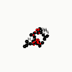 CC1(C)c2ccccc2C2(c3ccccc3-c3c(-c4cccc(N(c5ccccc5)c5ccc(CC6(C)c7ccccc7C7(c8ccc(-c9ccccc9N(c9ccccc9)c9ccc%10ccccc%10c9)cc8-c8ccc(-c9ccc(N(c%10ccccc%10)c%10ccc%11ccccc%11c%10)cc9)cc87)c7ccccc76)cc5)c4)cccc32)c2ccc(-c3ccc(N(c4ccccc4)c4ccccc4)cc3)cc21